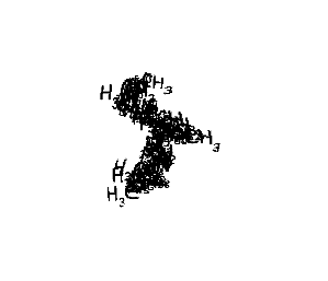 Cc1ccc(N2c3cc(-c4c(F)c(F)c(-c5cc6c(s5)-c5sc(-c7c(F)c(F)c(-c8cc9c(s8)-c8sccc8N(c8ccc(C)cc8)C9(C)C)c8nsnc78)cc5N(c5ccc(C)cc5)C6(C)C)c5nsnc45)sc3-c3sccc3C2(C)C)cc1